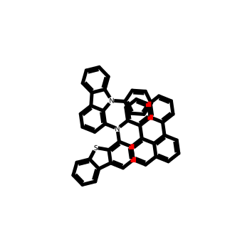 c1ccc(-c2cccc3cccc(-c4ccccc4N(c4cccc5c4sc4ccccc45)c4cccc5c6ccccc6n(-c6ccccc6)c45)c23)cc1